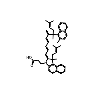 C=C(/C=C/C=C/C=C1/N(CCC(=O)O)c2ccc3ccccc3c2C1(C)CC=C(C)C)C(C)(CC=C(C)C)c1c(C)ccc2ccccc12